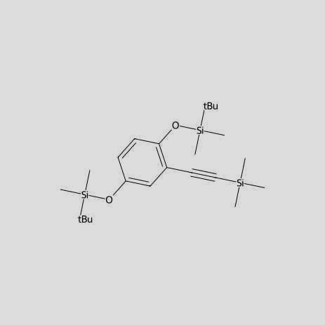 CC(C)(C)[Si](C)(C)Oc1ccc(O[Si](C)(C)C(C)(C)C)c(C#C[Si](C)(C)C)c1